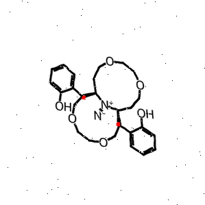 [N-]=[N+]1C2(Cc3ccccc3O)CCOCCOCCC1(Cc1ccccc1O)CCOCCOCC2